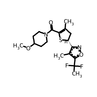 COC1CCN(C(=O)C2=C(C)C[C@H](c3noc(C(C)(F)F)c3C)S2)CC1